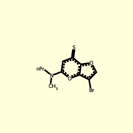 CCCN(C)c1cc(=S)c2occ(Br)c2o1